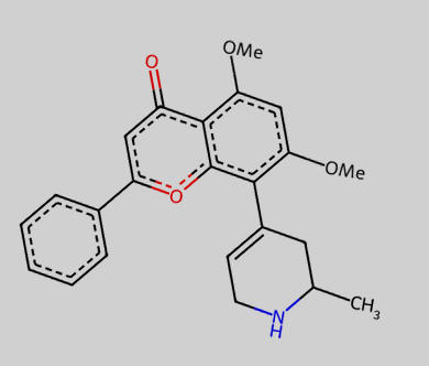 COc1cc(OC)c2c(=O)cc(-c3ccccc3)oc2c1C1=CCNC(C)C1